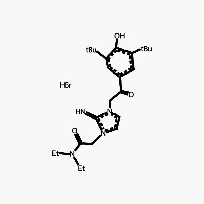 Br.CCN(CC)C(=O)Cn1ccn(CC(=O)c2cc(C(C)(C)C)c(O)c(C(C)(C)C)c2)c1=N